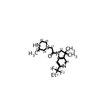 CCC(F)(F)c1cc2c(cn1)C(C)(C)CN2C(=O)CN1CCNC(C)C1